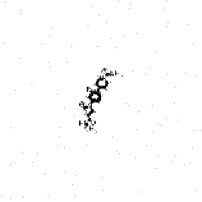 CNC(=O)[C@H]1CN(c2ccc(C3=CCN(C(N)=O)CC3)c(F)c2)C(=O)O1